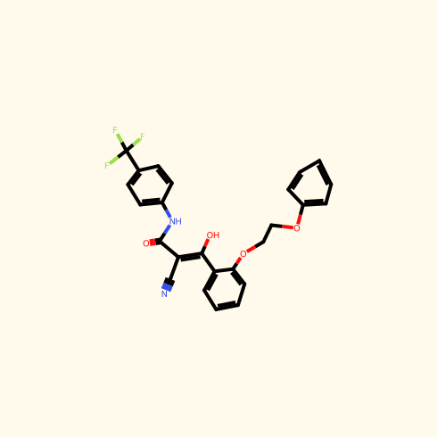 N#CC(C(=O)Nc1ccc(C(F)(F)F)cc1)=C(O)c1ccccc1OCCOc1ccccc1